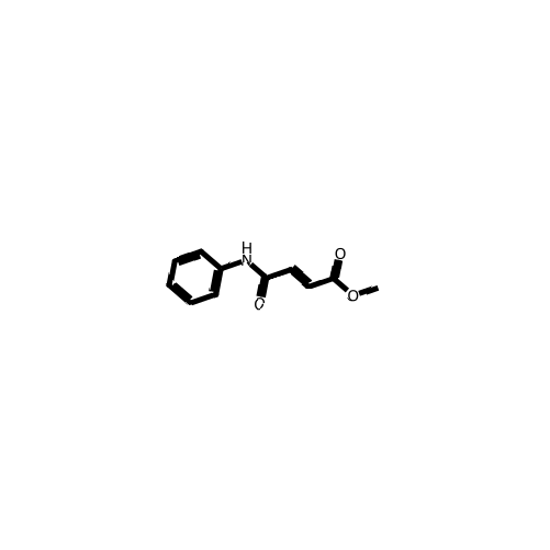 COC(=O)C=CC(=O)Nc1ccccc1